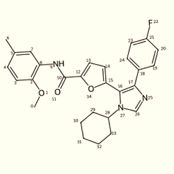 COc1ccc(C)cc1NC(=O)c1ccc(-c2c(-c3ccc(F)cc3)ncn2C2CCCCC2)o1